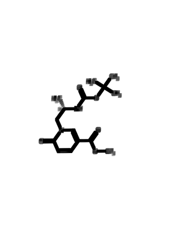 COC(=O)c1ccc(=O)n(C[C@H](C)NC(=O)OC(C)(C)C)c1